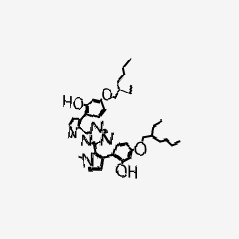 CCCCC(CC)COc1ccc(-c2ccn(C)c2-c2ncnc(-c3c(-c4ccc(OCC(CC)CCCC)cc4O)ccn3C)n2)c(O)c1